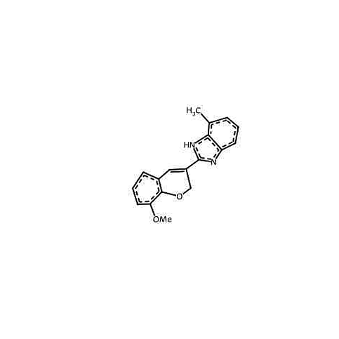 COc1cccc2c1OCC(c1nc3cccc(C)c3[nH]1)=C2